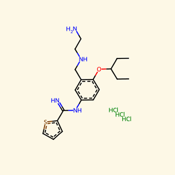 CCC(CC)Oc1ccc(NC(=N)c2cccs2)cc1CNCCN.Cl.Cl.Cl